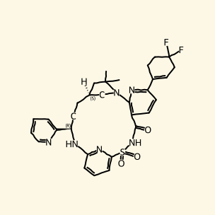 CC1(C)C[C@@H]2CC[C@H](c3ccccn3)Nc3cccc(n3)S(=O)(=O)NC(=O)c3ccc(C4=CCC(F)(F)CC4)nc3N1C2